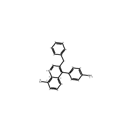 Nc1ccc(-c2c(Cc3ccccc3)cnc3c(Cl)cccc23)cc1